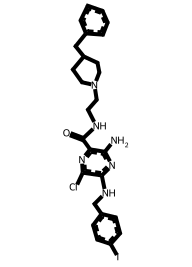 Nc1nc(NCc2ccc(I)cc2)c(Cl)nc1C(=O)NCCN1CCC(Cc2ccccc2)CC1